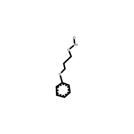 ClPOCCCOc1ccccc1